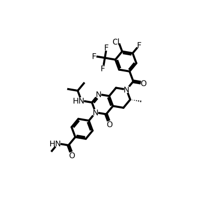 CNC(=O)c1ccc(-n2c(NC(C)C)nc3c(c2=O)C[C@@H](C)N(C(=O)c2cc(F)c(Cl)c(C(F)(F)F)c2)C3)cc1